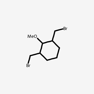 COC1C(CBr)CCCC1CBr